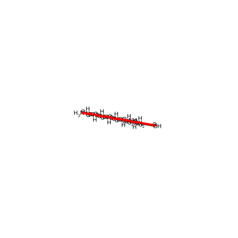 NC(=O)CCCCCNC(=O)COCCOCCNC(=O)COCCOCCNC(=O)COCCOCCNC(=O)COCCOCCNC(=O)COCCOCCNC(=O)[C@@H](N)CCCCNC(=O)[C@@H](N)CCCCNC(=O)[C@@H](N)CCCCNC(=O)CCCCCCCCCCCCCCCCC(=O)O